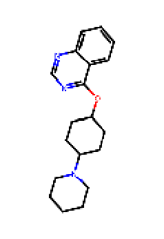 c1ccc2c(OC3CCC(N4CCCCC4)CC3)ncnc2c1